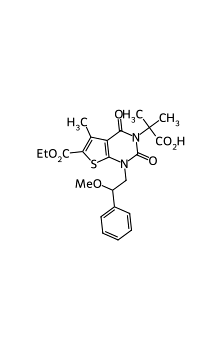 CCOC(=O)c1sc2c(c1C)c(=O)n(C(C)(C)C(=O)O)c(=O)n2CC(OC)c1ccccc1